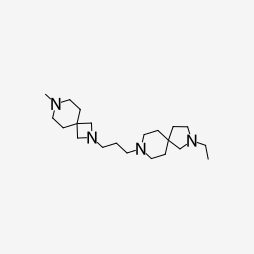 CCN1CCC2(CCN(CCCN3CC4(CCN(C)CC4)C3)CC2)C1